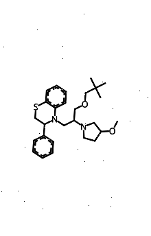 COC1CCN(C(COCC(C)(C)C)CN2c3ccccc3SCC2c2ccccc2)C1